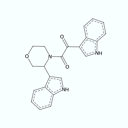 O=C(C(=O)N1CCOCC1c1c[nH]c2ccccc12)c1c[nH]c2ccccc12